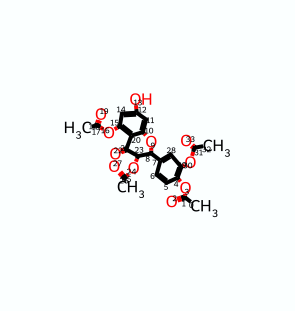 CC(=O)Oc1ccc(C2Oc3cc(O)cc(OC(C)=O)c3C(=O)C2OC(C)=O)cc1OC(C)=O